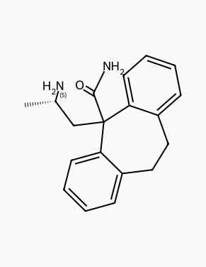 C[C@H](N)CC1(C(N)=O)c2ccccc2CCc2ccccc21